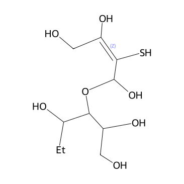 CCC(O)C(OC(O)/C(S)=C(/O)CO)C(O)CO